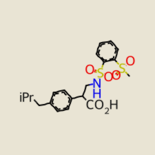 CC(C)Cc1ccc(C(CNS(=O)(=O)c2ccccc2S(C)(=O)=O)C(=O)O)cc1